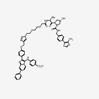 Cc1ncsc1-c1ccc(CNC(=O)[C@@H]2C[C@@H](O)CN2C(=O)C(NC(=O)COCCOCCn2cc(COc3ccc(-c4nc5cc(-c6ccccc6)ccn5c4Nc4ccc(C(=O)O)cc4)cc3)nn2)C(C)(C)C)cc1